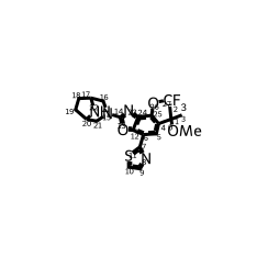 COC(C)(C)c1cc(-c2nccs2)c2oc(N3CC4CCC(C3)N4)nc2c1OC(F)(F)F